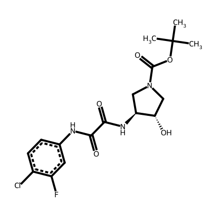 CC(C)(C)OC(=O)N1C[C@H](NC(=O)C(=O)Nc2ccc(Cl)c(F)c2)[C@@H](O)C1